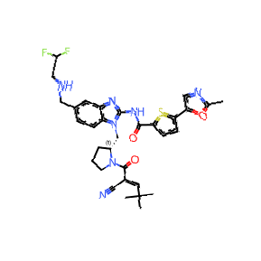 Cc1ncc(-c2ccc(C(=O)Nc3nc4cc(CNCC(F)F)ccc4n3C[C@H]3CCCN3C(=O)C(C#N)=CC(C)(C)C)s2)o1